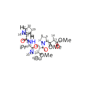 CC[C@H](C)[C@@H]([C@@H](CC(=O)N1CCC[C@H]1C(OC)C(C)C(=O)OC)OC)N(C)C(=O)[C@@H](NC(=O)[C@@H]1[C@H]2CC[C@H](C2)N1C)C(C)C